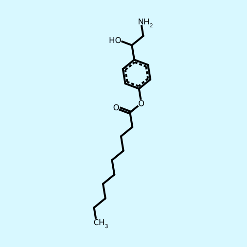 CCCCCCCCCC(=O)Oc1ccc(C(O)CN)cc1